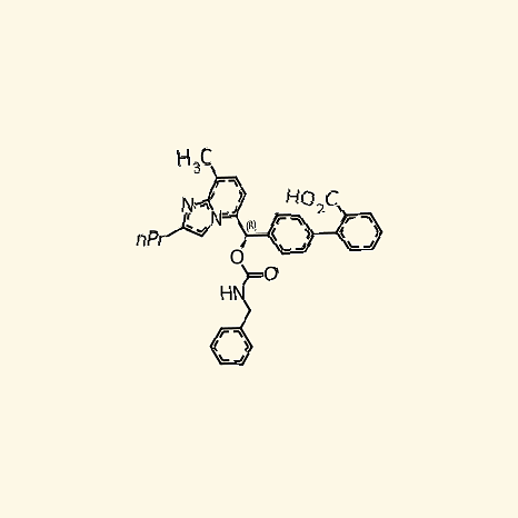 CCCc1cn2c([C@H](OC(=O)NCc3ccccc3)c3ccc(-c4ccccc4C(=O)O)cc3)ccc(C)c2n1